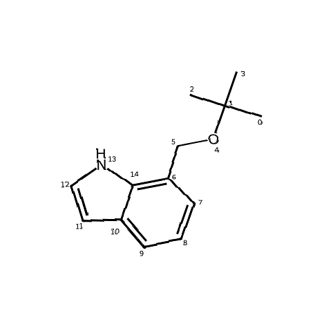 CC(C)(C)OCc1cccc2cc[nH]c12